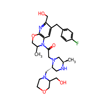 CC1COc2nc(CO)c(Cc3ccc(F)cc3)cc2N1C(=O)CN1C[C@@H](C)NC[C@@H]1CN1CCOCC1CO